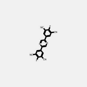 N#Cc1cc(-c2cnc(-c3cc(C#N)c(F)c(C#N)c3)cn2)cc(C#N)c1F